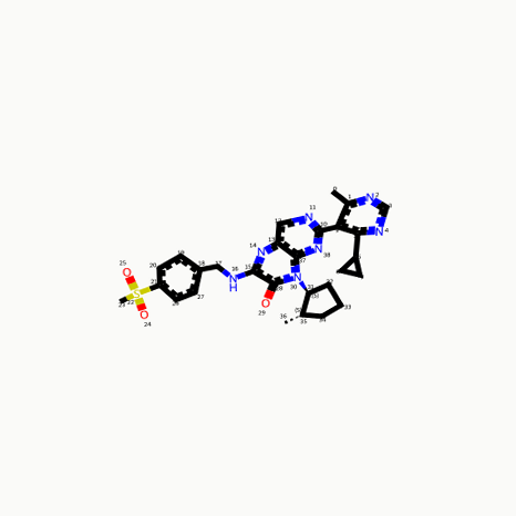 Cc1ncnc(C2CC2)c1-c1ncc2nc(NCc3ccc(S(C)(=O)=O)cc3)c(=O)n([C@H]3CCC[C@@H]3C)c2n1